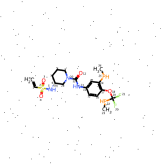 C=CS(=O)(=O)N[C@@H]1CCCN(C(=O)Nc2ccc(OC(F)(F)PC)c(PC)c2)C1